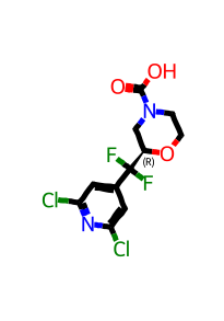 O=C(O)N1CCO[C@@H](C(F)(F)c2cc(Cl)nc(Cl)c2)C1